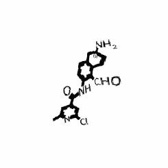 Cc1cc(C(=O)Nc2ccc3c(c2C=O)CC[C@H](N)C3)cc(Cl)n1